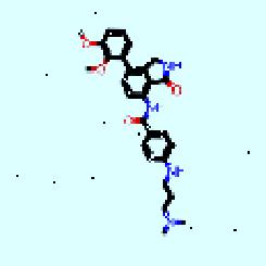 COc1cccc(-c2ccc(NC(=O)c3ccc(NCCCN(C)C)cc3)c3c2CNC3=O)c1OC